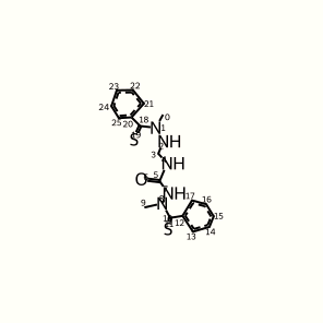 CN(NCNC(=O)NN(C)C(=S)c1ccccc1)C(=S)c1ccccc1